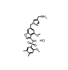 COc1cc(C)c(C)cc1S(=O)(=O)Nc1noc2cc(Cn3cc(CN)cn3)cc(OC)c12.Cl